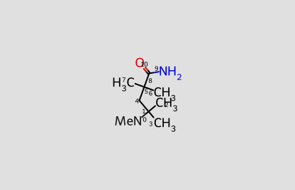 CNC(C)(C)CC(C)(C)C(N)=O